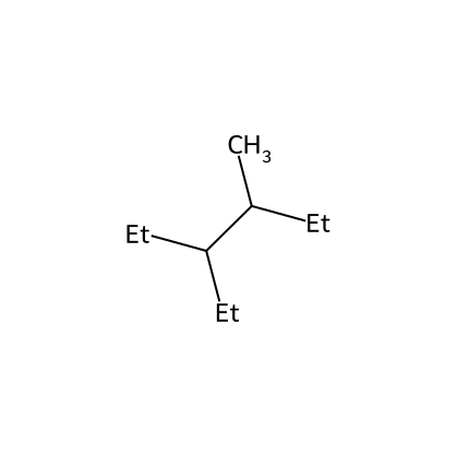 [CH2]CC(CC)C(C)CC